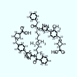 CCCCN(C(=O)Cc1ccccc1)c1nnc(-c2ccc(CN3CC(C(=O)O)C3)cc2C)s1.CCCCN(C(=O)c1ccccc1F)c1nnc(-c2ccc(CN3CCC(C(=O)O)C3)cc2)s1